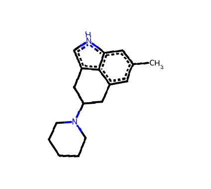 Cc1cc2c3c(c[nH]c3c1)CC(N1CCCCC1)C2